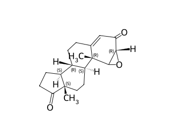 C[C@]12CC[C@H]3[C@@H](CCC4=CC(=O)[C@@H]5OC5[C@@]43C)[C@@H]1CCC2=O